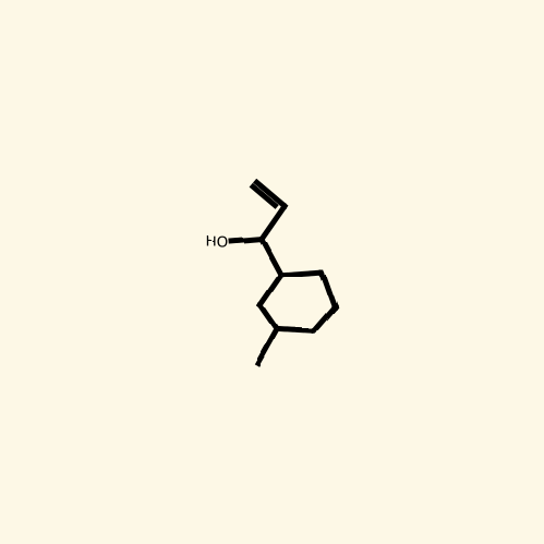 C=CC(O)C1CCCC(C)C1